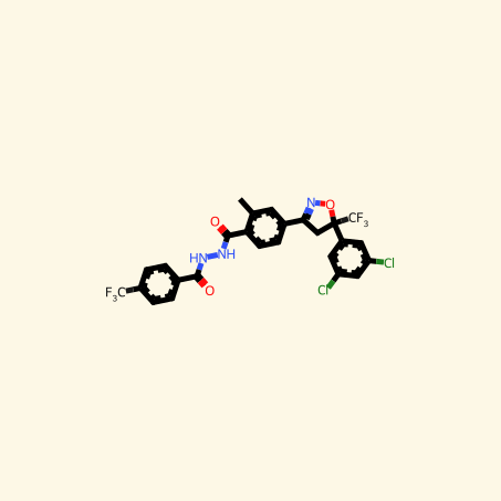 Cc1cc(C2=NOC(c3cc(Cl)cc(Cl)c3)(C(F)(F)F)C2)ccc1C(=O)NNC(=O)c1ccc(C(F)(F)F)cc1